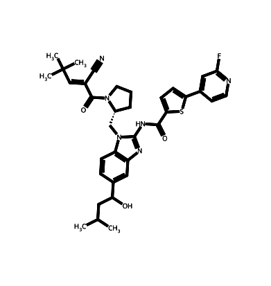 CC(C)CC(O)c1ccc2c(c1)nc(NC(=O)c1ccc(-c3ccnc(F)c3)s1)n2C[C@H]1CCCN1C(=O)/C(C#N)=C/C(C)(C)C